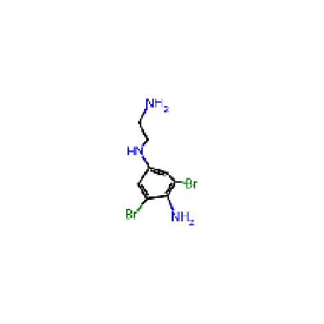 NCCNc1cc(Br)c(N)c(Br)c1